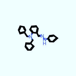 C(=NNc1ccccc1)c1ccccc1N(Cc1ccccc1)Cc1ccccc1